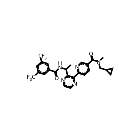 CC(NC(=O)c1cc(C(F)(F)F)cc(C(F)(F)F)c1)c1nccnc1-c1ccc(C(=O)N(C)CC2CC2)cn1